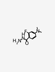 CN(C)c1ccc(C(=O)NN)c(F)c1